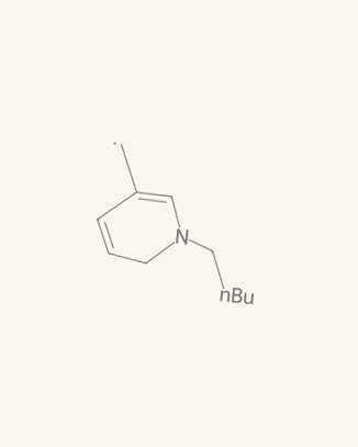 [CH2]C1=CN(CCCCC)CC=C1